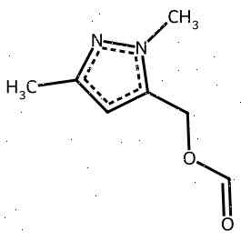 Cc1cc(COC=O)n(C)n1